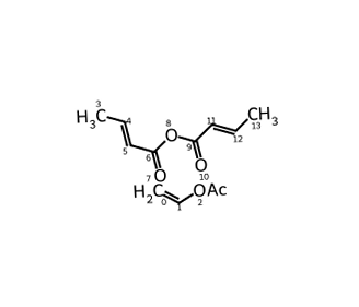 C=COC(C)=O.CC=CC(=O)OC(=O)C=CC